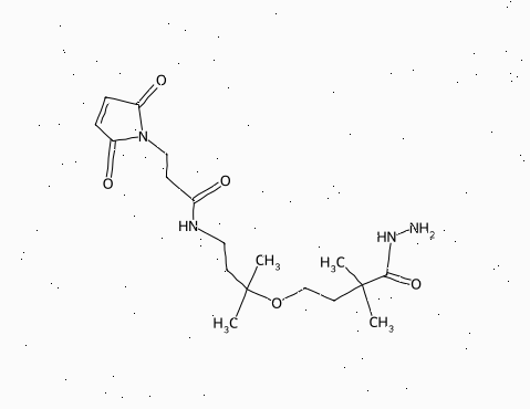 CC(C)(CCNC(=O)CCN1C(=O)C=CC1=O)OCCC(C)(C)C(=O)NN